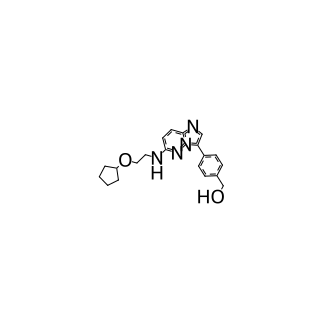 OCc1ccc(-c2cnc3ccc(NCCOC4CCCC4)nn23)cc1